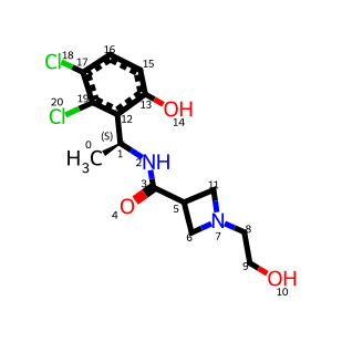 C[C@H](NC(=O)C1CN(CCO)C1)c1c(O)ccc(Cl)c1Cl